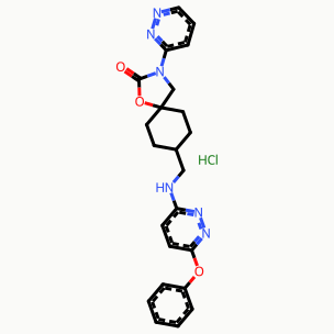 Cl.O=C1OC2(CCC(CNc3ccc(Oc4ccccc4)nn3)CC2)CN1c1cccnn1